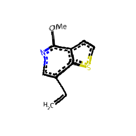 C=Cc1cnc(OC)c2ccsc12